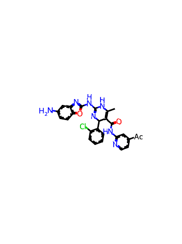 CC(=O)c1ccnc(NC(=O)C2=C(C)NC(Nc3nc4cc(N)ccc4o3)=NC2c2ccccc2Cl)c1